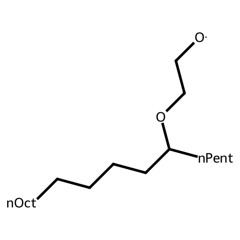 CCCCCCCCCCCCC(CCCCC)OCC[O]